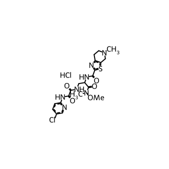 CON(C)C(=O)C(CNC(=O)C(=O)Nc1ccc(Cl)cn1)NC(=O)c1nc2c(s1)CN(C)CC2.Cl